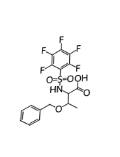 CC(OCc1ccccc1)C(NS(=O)(=O)c1c(F)c(F)c(F)c(F)c1F)C(=O)O